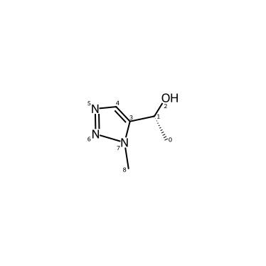 C[C@@H](O)c1cnnn1C